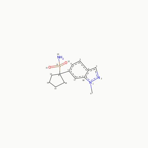 Cn1ncc2ccc(C3(S(N)(=O)=O)CCCC3)cc21